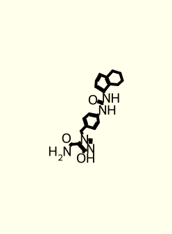 NC(=O)c1c(O)ncn1Cc1ccc(NC(=O)Nc2cccc3c2CCCC3)cc1